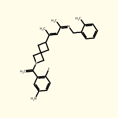 C=C(c1cc(N)ccc1F)N1CC2(CC(/C(C)=C/C(C)=N\Cc3ccccc3C)C2)C1